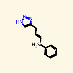 C(=C[SiH2]c1ccccc1)Cc1c[nH]nn1